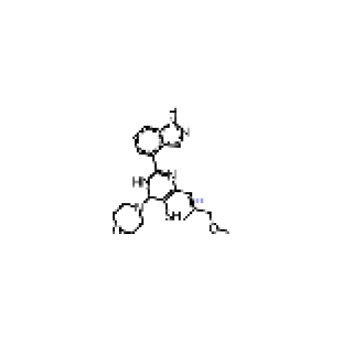 COC/C(C)=C/C1=C(S)C(N2CCOCC2)NC(c2cccc3[nH]ncc23)=N1